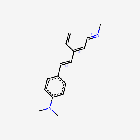 C=CC(/C=C/c1ccc(N(C)C)cc1)=C\C=N\C